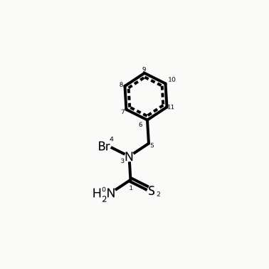 NC(=S)N(Br)Cc1ccccc1